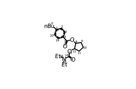 CCCCc1ccc(C(=O)OC2CCCC2OC(=O)N(CC)CC)cc1